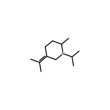 CC(C)=C1CCC(C)N(C(C)C)C1